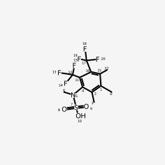 Cc1c(C)c(N(C)S(=O)(=O)O)c(C(F)(F)F)c(C(F)(F)F)c1C